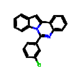 Clc1cccc(-c2nc3ccccc3c3cc4ccccc4n23)c1